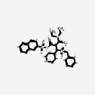 CCN(CC)C(=O)C(C(=O)NS(=O)(=O)c1ccc2ccccc2c1)C(C1CCNCC1)S(=O)(=O)Cc1ccccc1